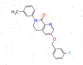 Cc1cccc(N2CCc3cc(OCc4cccc(F)c4)cnc3C2=O)c1